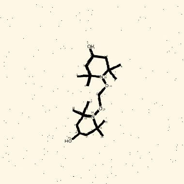 CC1(C)CC(O)CC(C)(C)N1OCON1C(C)(C)CC(O)CC1(C)C